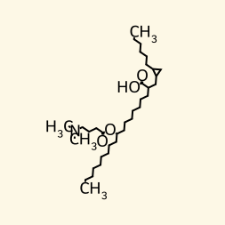 CCCCCCCCCC(CCCCCCCC(CC1CC1CCCCCC)C(=O)O)OC(=O)CCCN(C)C